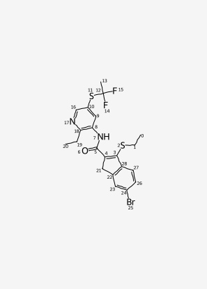 CCSC1=C(C(=O)Nc2cc(SC(C)(F)F)cnc2CC)Cc2cc(Br)ccc21